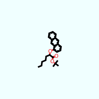 CCCCCC(Oc1cccc2cc3ccccc3cc12)C(=O)OC(C)(C)C